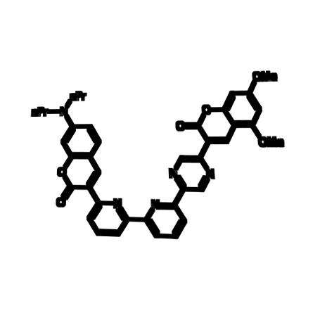 CCCN(CCC)c1ccc2cc(-c3cccc(-c4cccc(-c5cnc(-c6cc7c(OC)cc(OC)cc7oc6=O)cn5)n4)n3)c(=O)oc2c1